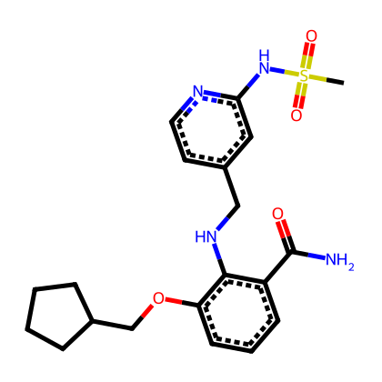 CS(=O)(=O)Nc1cc(CNc2c(OCC3CCCC3)cccc2C(N)=O)ccn1